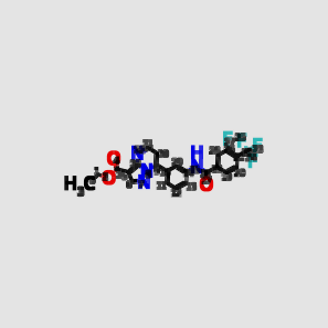 CCOC(=O)c1cnn2c(-c3cccc(NC(=O)c4ccc(C(F)(F)F)c(F)c4)c3)ccnc12